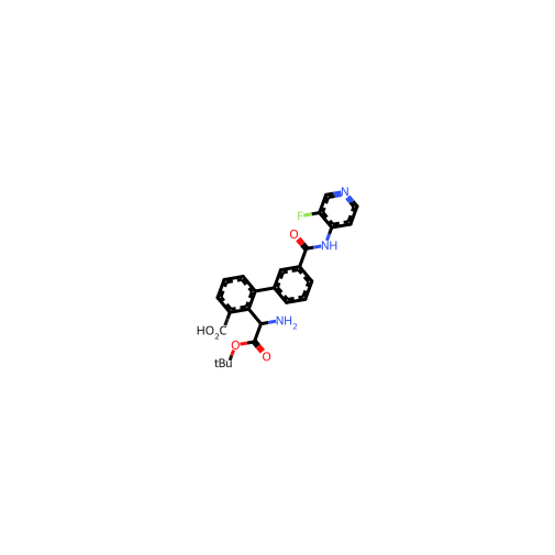 CC(C)(C)OC(=O)C(N)c1c(C(=O)O)cccc1-c1cccc(C(=O)Nc2ccncc2F)c1